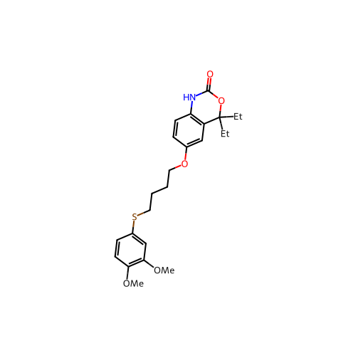 CCC1(CC)OC(=O)Nc2ccc(OCCCCSc3ccc(OC)c(OC)c3)cc21